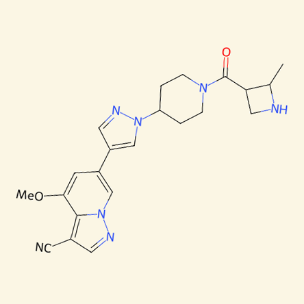 COc1cc(-c2cnn(C3CCN(C(=O)C4CNC4C)CC3)c2)cn2ncc(C#N)c12